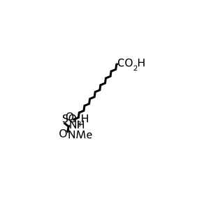 CNC(=O)C(CS(=O)(=O)O)NC(=O)CCCCCCCCCCCCCCCCC(=O)O